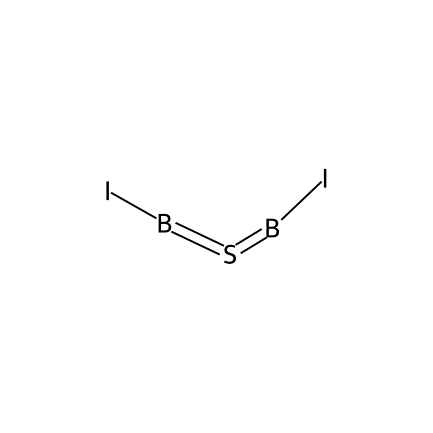 IB=S=BI